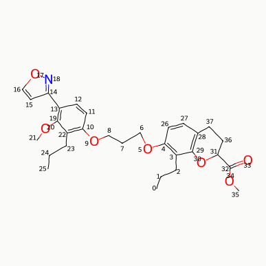 CCCc1c(OCCCOc2ccc(-c3ccon3)c(OC)c2CCC)ccc2c1OC(C(=O)OC)CC2